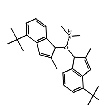 CC1=Cc2c(cccc2C(C)(C)C)[CH]1[Zr]([CH]1C(C)=Cc2c1cccc2C(C)(C)C)[SiH](C)C